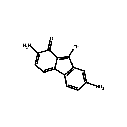 CC1=C2C(=O)C(N)=CC=C2c2ccc(N)cc21